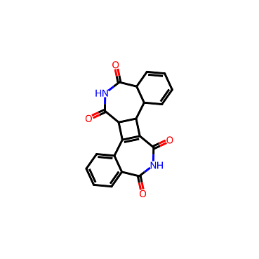 O=C1NC(=O)C2c3c(c(=O)[nH]c(=O)c4ccccc34)C2C2C=CC=CC12